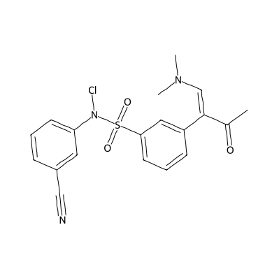 CC(=O)/C(=C/N(C)C)c1cccc(S(=O)(=O)N(Cl)c2cccc(C#N)c2)c1